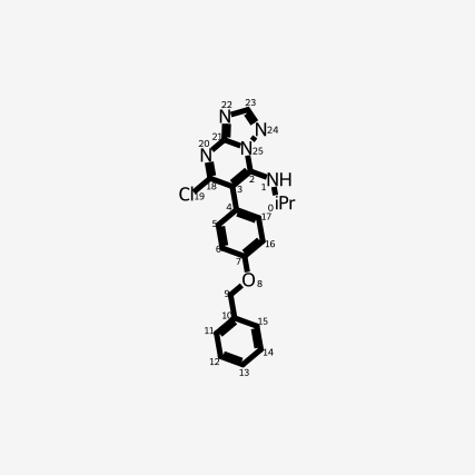 CC(C)Nc1c(-c2ccc(OCc3ccccc3)cc2)c(Cl)nc2ncnn12